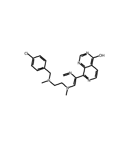 C=N/C(=C\N(C)CCN(C)Cc1ccc(Cl)cc1)c1nccc2c(O)ncnc12